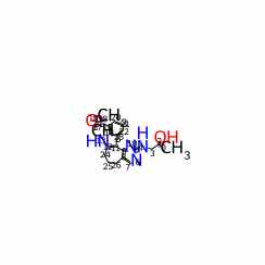 CC(O)CNc1ncc2c(n1)-c1c([nH]c3c(P(C)(C)=O)cccc13)CCC2